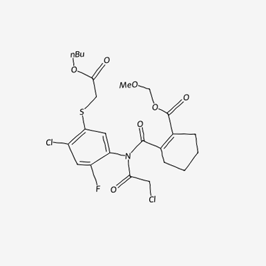 CCCCOC(=O)CSc1cc(N(C(=O)CCl)C(=O)C2=C(C(=O)OCOC)CCCC2)c(F)cc1Cl